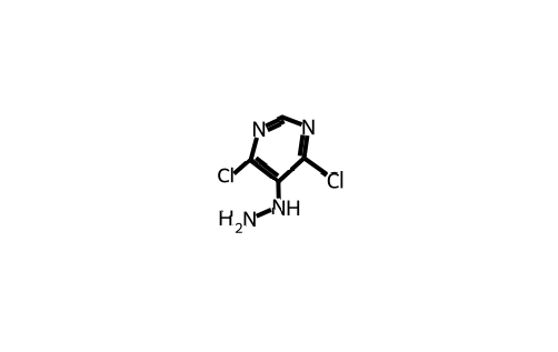 NNc1c(Cl)ncnc1Cl